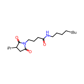 CC(C)C1CC(=O)N(CCCC(=O)NCCCCC(C)(C)C)C1=O